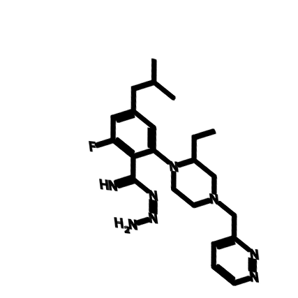 CCC1CN(Cc2cccnn2)CCN1c1cc(CC(C)C)cc(F)c1C(=N)/N=N\N